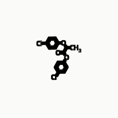 CC(Oc1ccc(Cl)cc1)C(=O)Oc1ccc(Cl)cc1